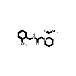 Cc1ccccc1CNC(=O)CN1CCCC[C@H]1C(N)=O